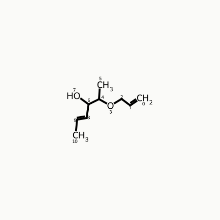 C=CCOC(C)C(O)/C=C/C